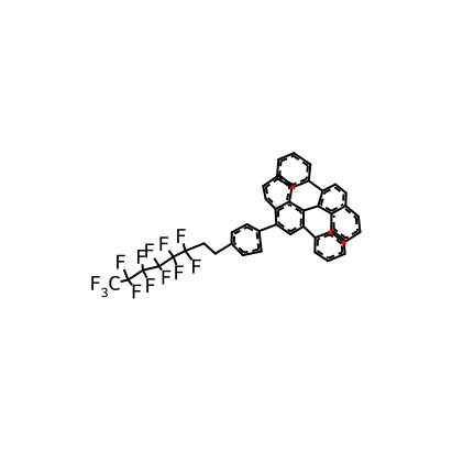 FC(F)(F)C(F)(F)C(F)(F)C(F)(F)C(F)(F)C(F)(F)CCc1ccc(-c2cc(-c3ccccc3)c(-c3c(-c4ccccc4)ccc4ccccc34)c3ccccc23)cc1